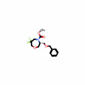 CC(C)(C)OC(=O)N1CC(F)(F)COC[C@H]1COCc1ccccc1